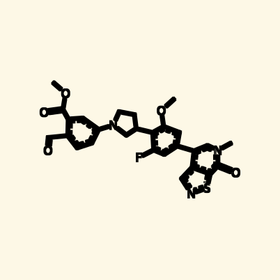 COC(=O)c1cc(N2CCC(c3c(F)cc(-c4cn(C)c(=O)c5sncc45)cc3OC)C2)ccc1C=O